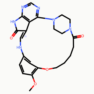 COc1ccc2cc1OCCCCC(=O)N1CCN(CC1)c1ncnc3c1/C(=C/N2)C(=O)N3